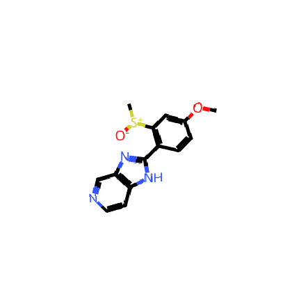 COc1ccc(-c2nc3cnccc3[nH]2)c([S+](C)[O-])c1